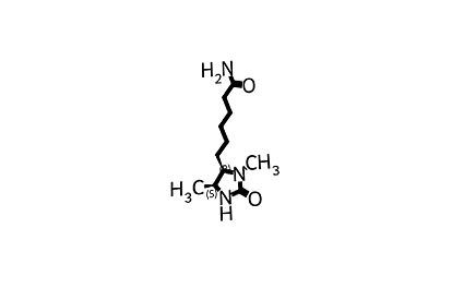 C[C@@H]1NC(=O)N(C)[C@@H]1CCCCCC(N)=O